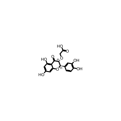 O=C(O)CO[C@H]1C(=O)c2c(O)cc(O)cc2O[C@@H]1c1ccc(O)c(O)c1